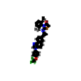 Cc1cccc(C)c1N1C(=O)CS/C1=N\C1CC1c1ccc2c(ccc3c2ncn3-c2ccc(OC(F)(F)F)cc2)c1